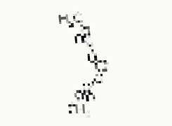 C=CCOC(=O)OCCOc1cccc(OCCOC(=O)OCC=C)c1